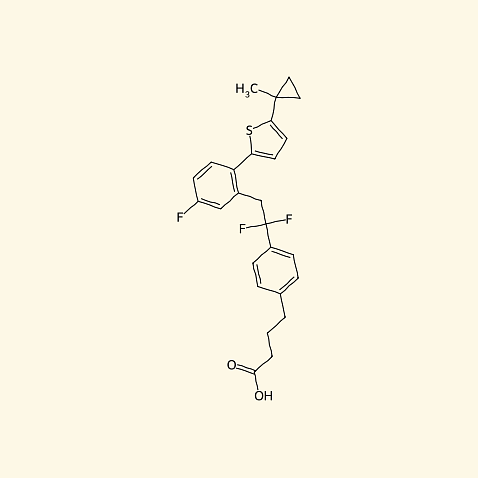 CC1(c2ccc(-c3ccc(F)cc3CC(F)(F)c3ccc(CCCC(=O)O)cc3)s2)CC1